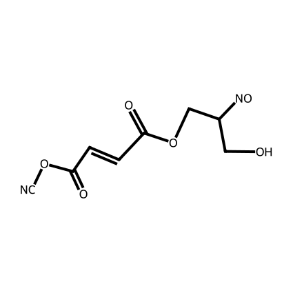 N#COC(=O)/C=C/C(=O)OCC(CO)N=O